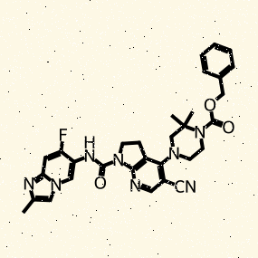 Cc1cn2cc(NC(=O)N3CCc4c3ncc(C#N)c4N3CCN(C(=O)OCc4ccccc4)C(C)(C)C3)c(F)cc2n1